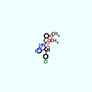 COc1cccc(CC(=O)Nc2onc(-c3ccc(Cl)cc3)c2-c2ccncn2)c1OC